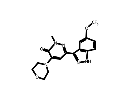 Cn1nc(-c2n[nH]c3ccc(OC(F)(F)F)cc23)cc(N2CCOCC2)c1=O